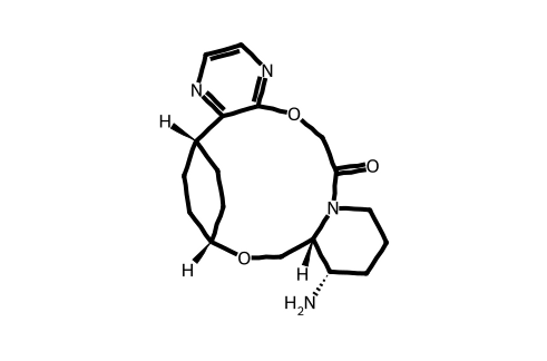 N[C@H]1CCCN2C(=O)COc3nccnc3[C@H]3CC[C@H](CC3)OC[C@@H]12